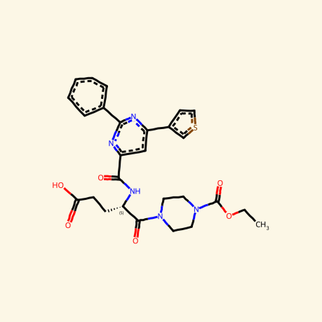 CCOC(=O)N1CCN(C(=O)[C@H](CCC(=O)O)NC(=O)c2cc(-c3ccsc3)nc(-c3ccccc3)n2)CC1